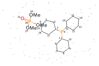 C1CCC(P(C2CCCCC2)C2CCCCC2)CC1.COP(=O)(OC)OC